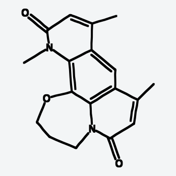 Cc1cc(=O)n(C)c2c3c4c(cc12)c(C)cc(=O)n4CCCO3